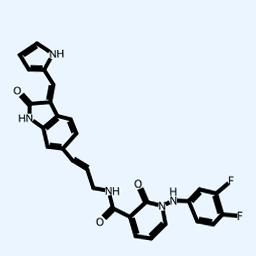 O=C1Nc2cc(/C=C/CNC(=O)c3cccn(Nc4ccc(F)c(F)c4)c3=O)ccc2C1=Cc1ccc[nH]1